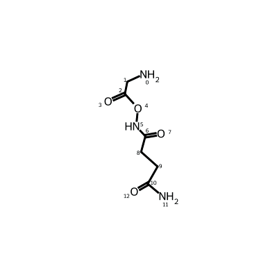 NCC(=O)ONC(=O)CCC(N)=O